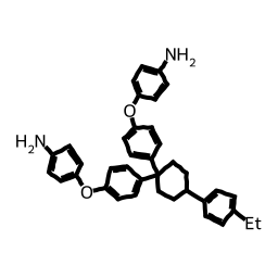 CCc1ccc(C2CCC(c3ccc(Oc4ccc(N)cc4)cc3)(c3ccc(Oc4ccc(N)cc4)cc3)CC2)cc1